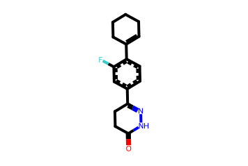 O=C1CCC(c2ccc(C3=CCCCC3)c(F)c2)=NN1